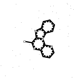 Clc1nc2cccnc2n2c1nc1ccccc12